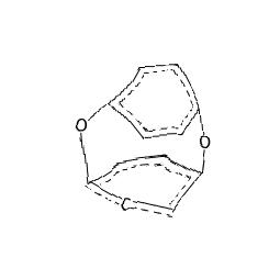 c1cc2ccc1Oc1ccc(cc1)O2